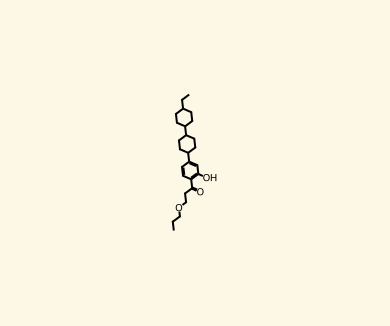 CCCOCCC(=O)c1ccc(C2CCC(C3CCC(CC)CC3)CC2)cc1O